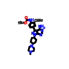 COc1cc(-c2nn(C3CCC(N4CCN(C)CC4)CC3)c3ncnc(N)c23)ccc1NC(=O)OC(C)(C)C